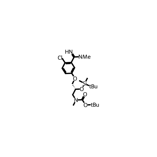 CNC(=N)c1cc(OC[C@@H](CN(C)C(=O)OC(C)(C)C)O[Si](C)(C)C(C)(C)C)ccc1Cl